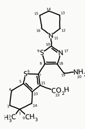 CC1(C)CCc2sc(-c3sc(N4CCCCC4)nc3CN)c(C(=O)O)c2C1